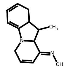 CC1C2CC=CC=C2N2CC=CC(=NO)C12